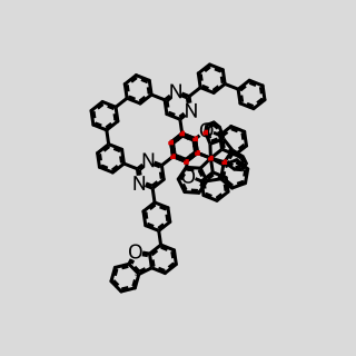 c1ccc(-c2cccc(-c3nc(-c4cccc(-c5cccc(-c6cccc(-c7nc(-c8ccc(-c9cccc%10c9oc9ccccc9%10)cc8)cc(-c8cccc9c8Oc8ccccc8C98c9ccccc9-c9ccccc98)n7)c6)c5)c4)cc(-c4cccc5c4Oc4ccccc4C54c5ccccc5-c5ccccc54)n3)c2)cc1